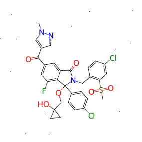 Cn1cc(C(=O)c2cc(F)c3c(c2)C(=O)N(Cc2ccc(Cl)cc2S(C)(=O)=O)C3(OCC2(O)CC2)c2ccc(Cl)cc2)cn1